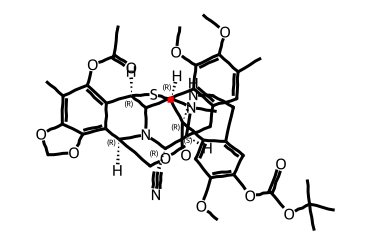 COc1cc2c(cc1OC(=O)OC(C)(C)C)CCN[C@]21CS[C@@H]2c3c(OC(C)=O)c(C)c4c(c3[C@H](COC1=O)N1C2[C@H]2c3c(cc(C)c(OC)c3OC)C[C@@H]([C@@H]1C#N)N2C)OCO4